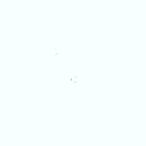 CCCCC[C@H]1CC[C@H](c2ccc(OCCOCCCOC(=O)OC(C)(C)C)c(F)c2F)CC1